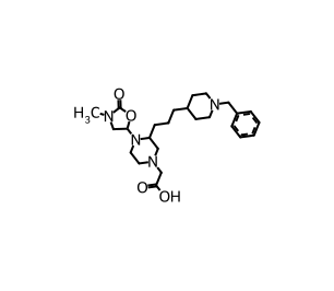 CN1CC(N2CCN(CC(=O)O)CC2CCCC2CCN(Cc3ccccc3)CC2)OC1=O